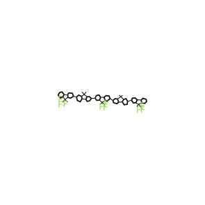 CC1(C)c2cc(-c3ccc4c(c3)C(C)(C(F)(F)F)c3ccccc3-4)ccc2-c2ccc(-c3ccc4c(c3)C(C)(C(F)(F)F)c3cc(-c5ccc6c(c5)C(C)(C)c5cc(-c7ccc8c(c7)C(C)(C(F)(F)F)c7ccccc7-8)ccc5-6)ccc3-4)cc21